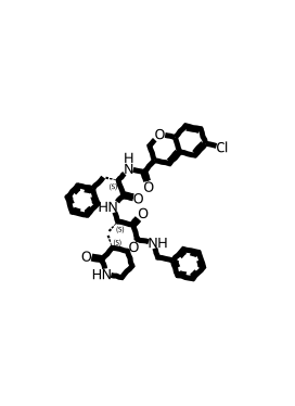 O=C(NCc1ccccc1)C(=O)[C@H](C[C@@H]1CCCNC1=O)NC(=O)[C@H](Cc1ccccc1)NC(=O)C1C=C2C=C(Cl)C=CC2OC1